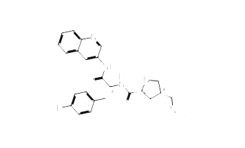 NC[C@@H]1CN[C@H](C(=O)N[C@H](Cc2ccc(F)cc2)C(=O)Nc2cnc3ccccc3c2)C1